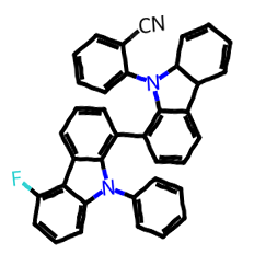 N#Cc1ccccc1N1c2c(-c3cccc4c5c(F)cccc5n(-c5ccccc5)c34)cccc2C2C=CC=CC21